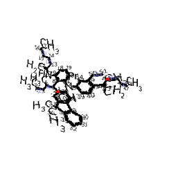 C#C/C(=C(C)\C=C/C)c1c(NC(=C)/C=C\C=C/C)cccc1N(c1ccc2c(c1)-c1ccccc1C2(C)C)c1ccc(C(=C)/C=C\C=C/C)c(/C=C\C)c1C(C)C